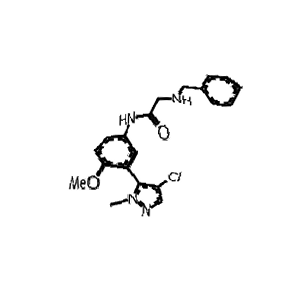 COc1ccc(NC(=O)CNCc2ccccc2)cc1-c1c(Cl)cnn1C